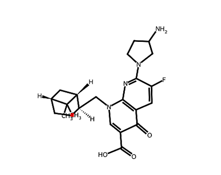 CC1(C)[C@@H]2CC[C@H](Cn3cc(C(=O)O)c(=O)c4cc(F)c(N5CCC(N)C5)nc43)[C@H]1C2